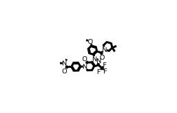 COc1ccc(-n2nc(C(F)(F)F)c3c2C(=O)N(c2ccc(C(=O)N(C)C)cc2)CC3)c(C(=O)N2CCCC(C)(C)C2)c1